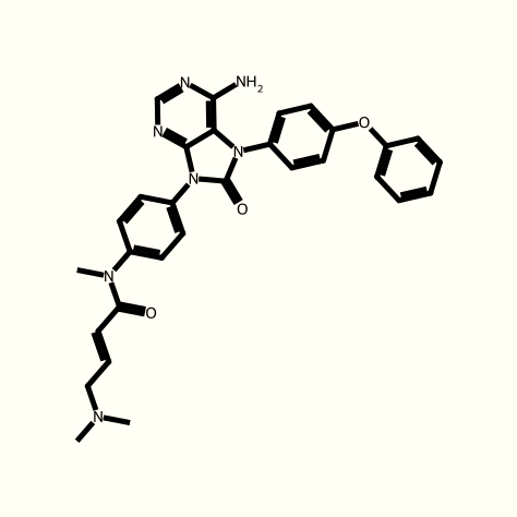 CN(C)CC=CC(=O)N(C)c1ccc(-n2c(=O)n(-c3ccc(Oc4ccccc4)cc3)c3c(N)ncnc32)cc1